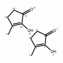 CC1=C(O)C(=O)CC1.CC1=C(O)C(=O)CC1